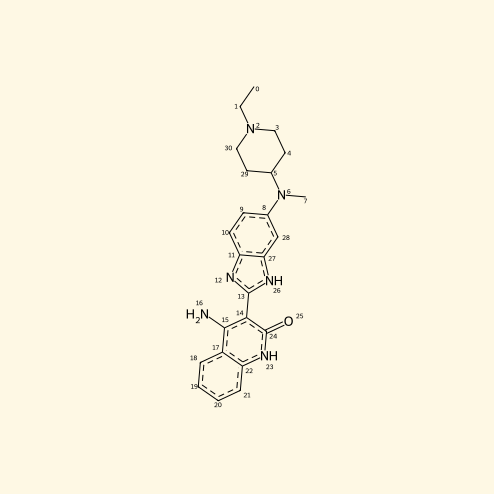 CCN1CCC(N(C)c2ccc3nc(-c4c(N)c5ccccc5[nH]c4=O)[nH]c3c2)CC1